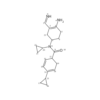 N=CC1=C(N)CCC(N(C(=O)C2C=CC(C3CC3)=CC2)C2CC2)C1